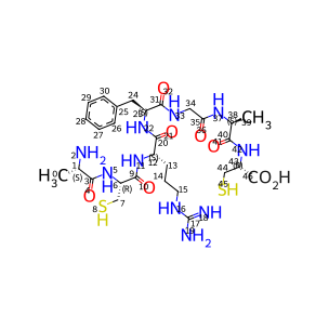 C[C@H](N)C(=O)N[C@@H](CS)C(=O)N[C@@H](CCCNC(=N)N)C(=O)N[C@@H](Cc1ccccc1)C(=O)NCC(=O)N[C@@H](C)C(=O)N[C@@H](CS)C(=O)O